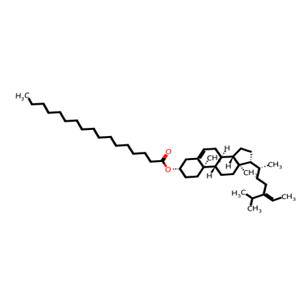 C/C=C(\CC[C@@H](C)[C@H]1CC[C@H]2[C@@H]3CC=C4C[C@@H](OC(=O)CCCCCCCCCCCCCCCC)CC[C@]4(C)[C@H]3CC[C@]12C)C(C)C